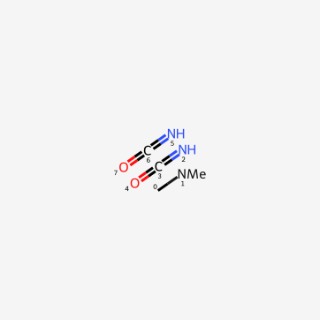 CNC.N=C=O.N=C=O